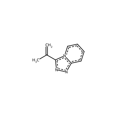 C=C(C)c1nnc2ccccn12